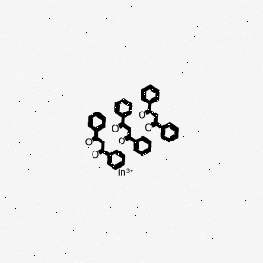 O=C(CC(=O)c1ccccc1)c1ccccc1.O=C(CC(=O)c1ccccc1)c1ccccc1.O=C(CC(=O)c1ccccc1)c1ccccc1.[In+3]